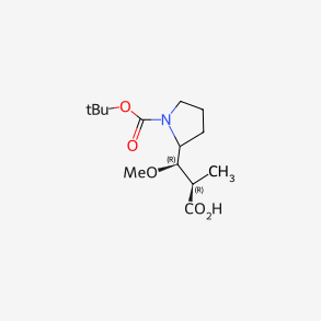 CO[C@@H](C1CCCN1C(=O)OC(C)(C)C)[C@@H](C)C(=O)O